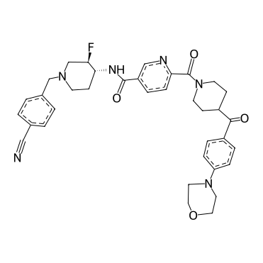 N#Cc1ccc(CN2CC[C@@H](NC(=O)c3ccc(C(=O)N4CCC(C(=O)c5ccc(N6CCOCC6)cc5)CC4)nc3)[C@H](F)C2)cc1